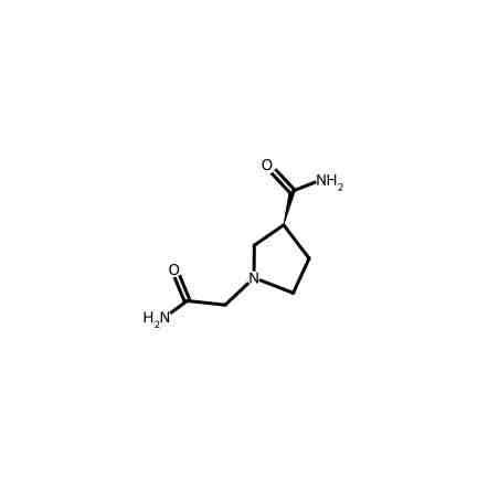 NC(=O)CN1CC[C@H](C(N)=O)C1